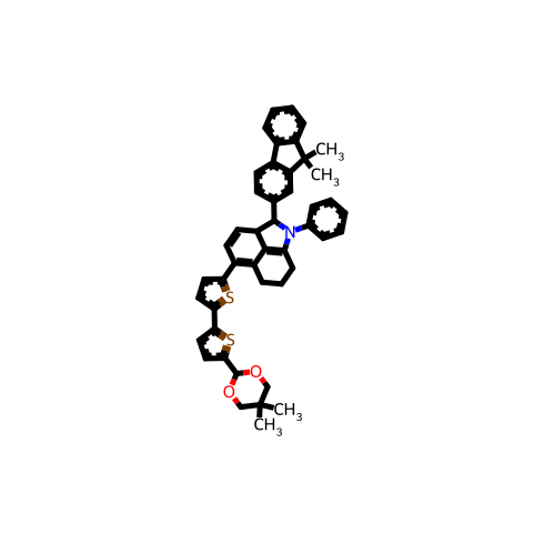 CC1(C)COC(c2ccc(-c3ccc(C4=C5CCCC6=C5C(C=C4)C(c4ccc5c(c4)C(C)(C)c4ccccc4-5)N6c4ccccc4)s3)s2)OC1